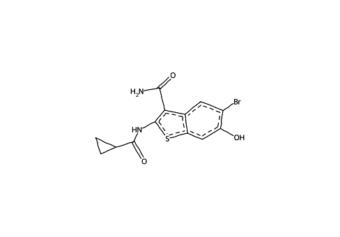 NC(=O)c1c(NC(=O)C2CC2)sc2cc(O)c(Br)cc12